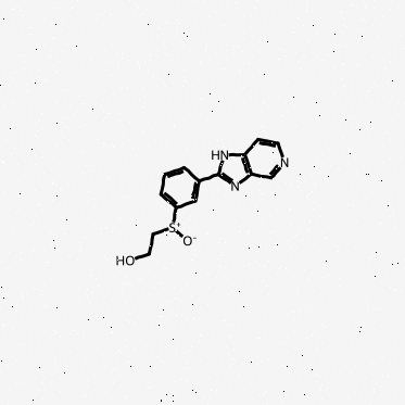 [O-][S+](CCO)c1cccc(-c2nc3cnccc3[nH]2)c1